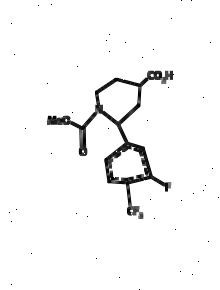 COC(=O)N1CCC(C(=O)O)CC1c1ccc(C(F)(F)F)c(F)c1